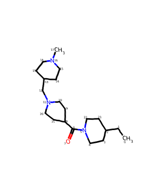 CCC1CCN(C(=O)C2CCN(CC3CCN(C)CC3)CC2)CC1